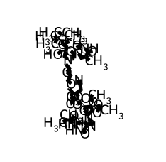 CC(=O)O[C@@H]1[C@H](OC(C)=O)[C@@H](COP(=O)(OCCC#N)OCCOCCOCCN2C[C@H](n3cc(C)c(=O)[nH]c3=O)O[C@@](CO)(CO[Si](C(C)C)(C(C)C)C(C)C)C2)O[C@H]1n1cnc2c(=O)[nH]c(NC(=O)C(C)C)nc21